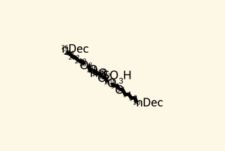 CCCCCCCCCCCCCCCCOCCOCCOCCOCCOCCCCCCCCCCCCCCCC.O=S(=O)(O)O